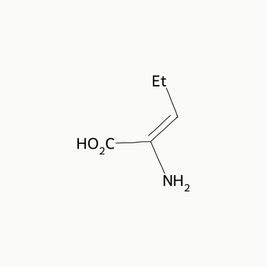 CC/C=C(/N)C(=O)O